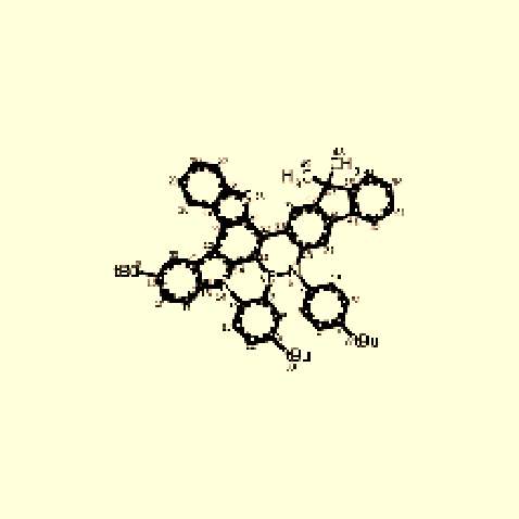 CC(C)(C)c1ccc(N2B3c4cc(C(C)(C)C)ccc4-n4c5ccc(C(C)(C)C)cc5c5c6c(sc7ccccc76)c(c3c54)-c3cc4c(cc32)-c2ccccc2C4(C)C)cc1